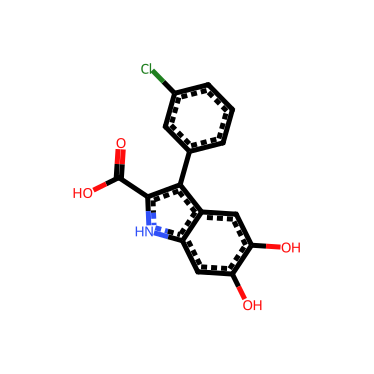 O=C(O)c1[nH]c2cc(O)c(O)cc2c1-c1cccc(Cl)c1